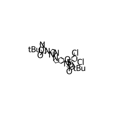 CN(C)CCN(CC(=O)OC(C)(C)C)c1ccnc(N2CCc3cc(N(CC(=O)OC(C)(C)C)S(=O)(=O)c4cc(Cl)cc(Cl)c4)ccc32)n1